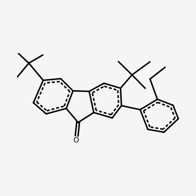 CCc1ccccc1-c1cc2c(cc1C(C)(C)C)-c1cc(C(C)(C)C)ccc1C2=O